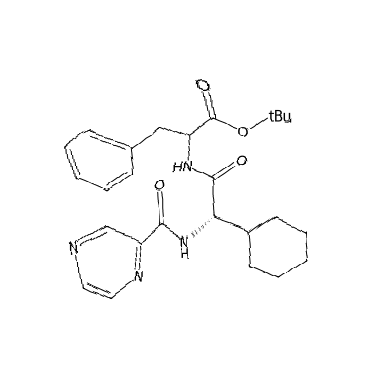 CC(C)(C)OC(=O)C(Cc1ccccc1)NC(=O)[C@@H](NC(=O)c1cnccn1)C1CCCCC1